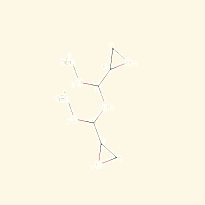 CCCCOC(OC(OCCCC)C1CO1)C1CO1